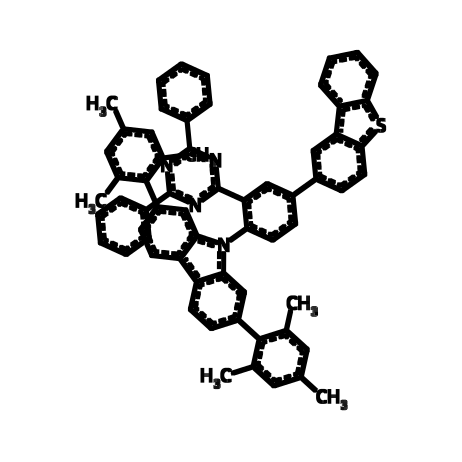 Cc1cc(C)c(-c2ccc3c4ccc(-c5c(C)cc(C)cc5C)cc4n(-c4ccc(-c5ccc6sc7ccccc7c6c5)cc4-c4nc(-c5ccccc5)nc(-c5ccccc5)n4)c3c2)c(C)c1